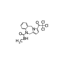 CBC(=O)N1Cc2ccc(C(=O)C(Cl)(Cl)Cl)n2Cc2ccccc21